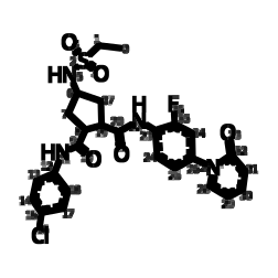 CCS(=O)(=O)NC1CC(C(=O)Nc2ccc(Cl)cc2)C(C(=O)Nc2ccc(-n3ccccc3=O)cc2F)C1